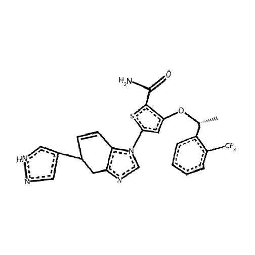 C[C@@H](Oc1cc(-n2cnc3c2C=CC(c2cn[nH]c2)C3)sc1C(N)=O)c1ccccc1C(F)(F)F